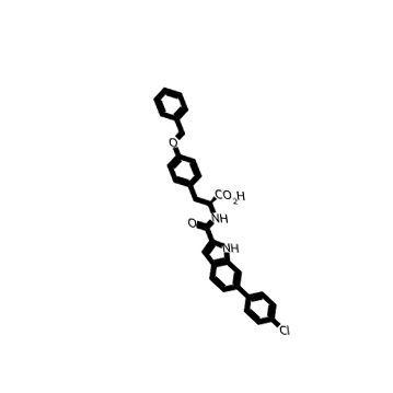 O=C(N[C@@H](Cc1ccc(OCc2ccccc2)cc1)C(=O)O)c1cc2ccc(-c3ccc(Cl)cc3)cc2[nH]1